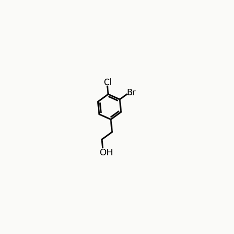 OCCc1ccc(Cl)c(Br)c1